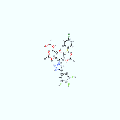 CC(=O)OC[C@H]1O[C@H](Sc2ccc(Cl)cc2)[C@H](OC(C)=O)[C@@H](n2cc(-c3cc(F)c(F)c(F)c3)nn2)[C@H]1OC(C)=O